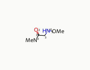 CNC(=O)CNOC